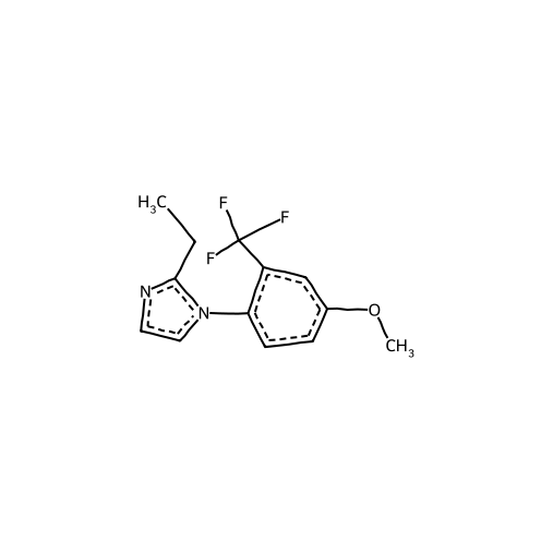 CCc1nccn1-c1ccc(OC)cc1C(F)(F)F